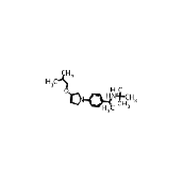 CC(C)CO[C@@H]1CCN(c2ccc(C(C)NC(C)(C)C)cc2)C1